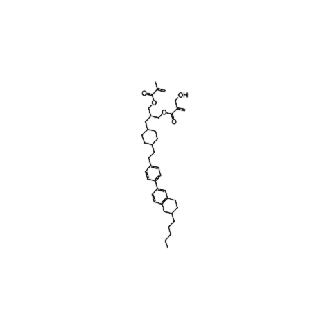 C=C(C)C(=O)OCC(COC(=O)C(=C)CO)CC1CCC(CCc2ccc(-c3ccc4c(c3)CCC(CCCCC)C4)cc2)CC1